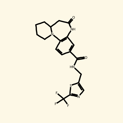 O=C1CC2CCCCN2c2ccc(C(=O)NCc3cnc(C(F)(F)F)s3)cc2N1